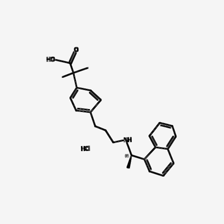 C[C@@H](NCCCc1ccc(C(C)(C)C(=O)O)cc1)c1cccc2ccccc12.Cl